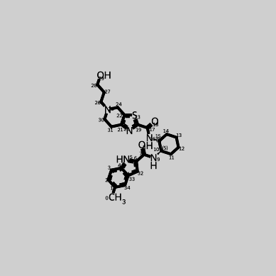 Cc1ccc2[nH]c(C(=O)N[C@H]3CCCC[C@H]3NC(=O)c3nc4c(s3)CN(CCCO)CC4)cc2c1